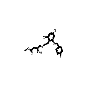 COC(=O)CC(O)CSCCc1c(Cl)cc(Cl)cc1OCc1ccc(F)cc1